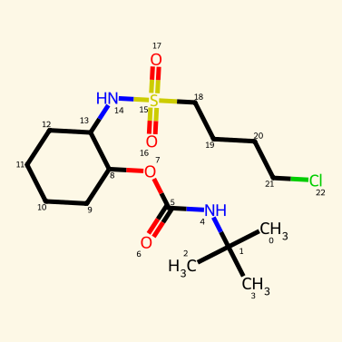 CC(C)(C)NC(=O)OC1CCCCC1NS(=O)(=O)CCCCCl